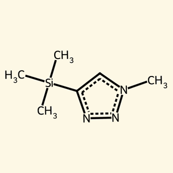 Cn1cc([Si](C)(C)C)nn1